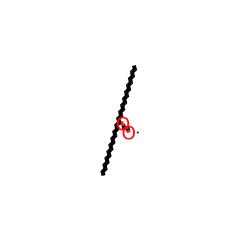 CCCCCCCCCCCCCCCCCC(CCCCCCCCCCCCCCCC)OCC[O]